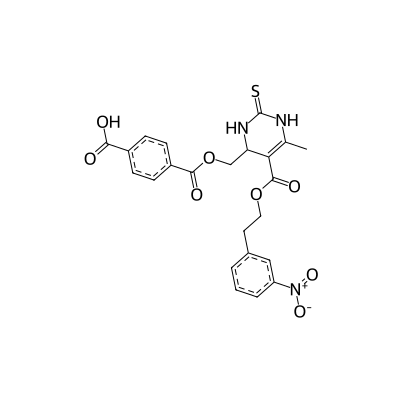 CC1=C(C(=O)OCCc2cccc([N+](=O)[O-])c2)C(COC(=O)c2ccc(C(=O)O)cc2)NC(=S)N1